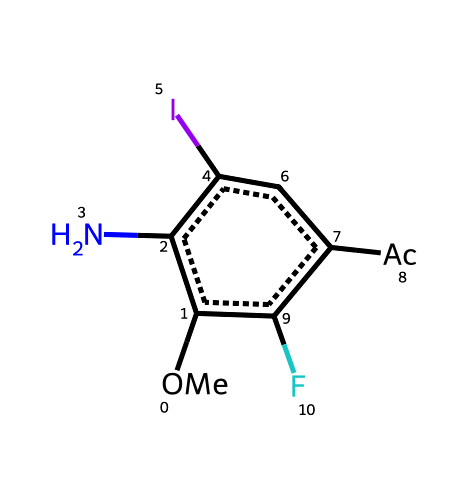 COc1c(N)c(I)cc(C(C)=O)c1F